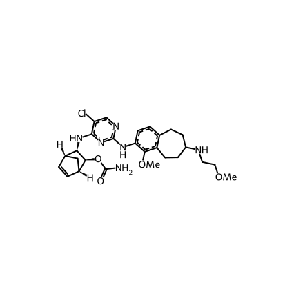 COCCNC1CCc2ccc(Nc3ncc(Cl)c(N[C@H]4[C@@H](OC(N)=O)[C@@H]5C=C[C@H]4C5)n3)c(OC)c2CC1